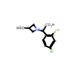 COC1CN(C(C(=O)O)c2ccc(F)cc2F)C1